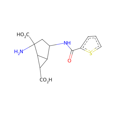 NC1(C(=O)O)CC(NC(=O)c2cccs2)C2C(C(=O)O)C21